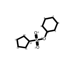 O=S(=O)(OC1CCCCC1)C1CCCC1